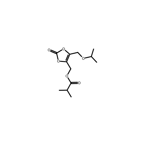 CC(C)OCc1oc(=O)oc1COC(=O)C(C)C